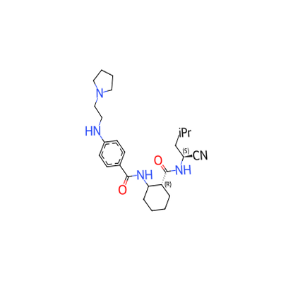 CC(C)C[C@@H](C#N)NC(=O)[C@@H]1CCCCC1NC(=O)c1ccc(NCCN2CCCC2)cc1